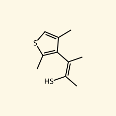 C/C(S)=C(\C)c1c(C)csc1C